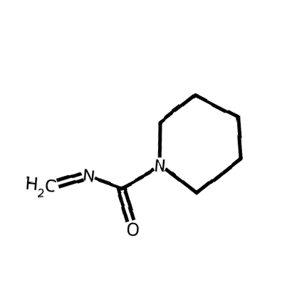 C=NC(=O)N1CCCCC1